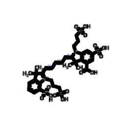 CC1(C)C(/C=C/C=C/C=C2/N(CCCS(=O)(=O)O)c3cc(S(=O)(=O)O)cc(C(=O)O)c3C2(C)C)=[N+](CCCS(=O)(=O)O)c2c1cccc2S(=O)(=O)O